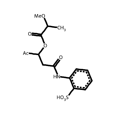 COC(C)C(=O)OC(CC(=O)Nc1ccccc1S(=O)(=O)O)C(C)=O